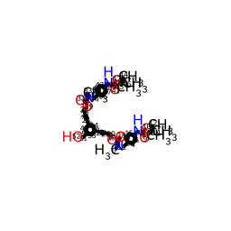 CN(Cc1ccc(NC(=O)OC(C)(C)C)cc1)C(=O)OCC#Cc1cc(C#CCOC(=O)N(C)Cc2ccc(NC(=O)OC(C)(C)C)cc2)cc(CO)c1